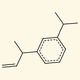 C=CC(C)c1[c]c(C(C)C)ccc1